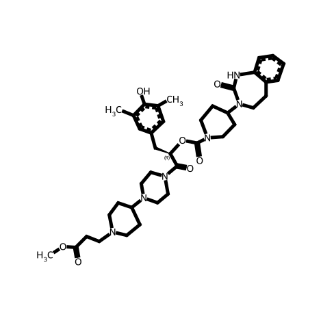 COC(=O)CCN1CCC(N2CCN(C(=O)[C@@H](Cc3cc(C)c(O)c(C)c3)OC(=O)N3CCC(N4CCc5ccccc5NC4=O)CC3)CC2)CC1